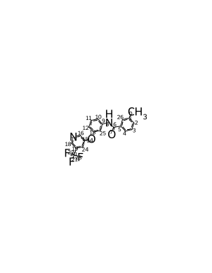 Cc1cccc(C(=O)Nc2cccc(Oc3cncc(C(F)(F)F)c3)c2)c1